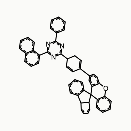 C1=CC2c3ccccc3C3(c4ccccc4Oc4ccc(C5=CCC(c6nc(-c7ccccc7)nc(-c7cccc8ccccc78)n6)C=C5)cc43)C2C=C1